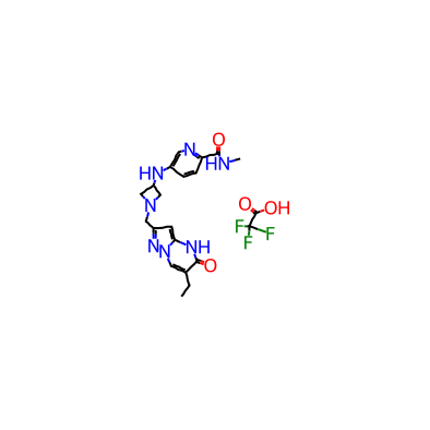 CCc1cn2nc(CN3CC(Nc4ccc(C(=O)NC)nc4)C3)cc2[nH]c1=O.O=C(O)C(F)(F)F